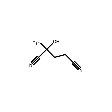 CC(O)(C#N)CCC#N